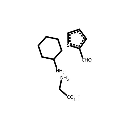 NC1CCCCC1.NCC(=O)O.O=Cc1cccs1